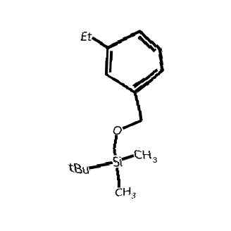 CCc1cccc(CO[Si](C)(C)C(C)(C)C)c1